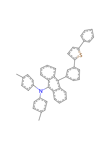 Cc1ccc(N(c2ccc(C)cc2)c2c3ccccc3c(-c3cccc(-c4ccc(-c5ccccc5)s4)c3)c3ccccc23)cc1